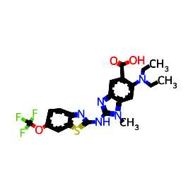 CCN(CC)c1cc2c(cc1C(=O)O)nc(Nc1nc3ccc(OC(F)(F)F)cc3s1)n2C